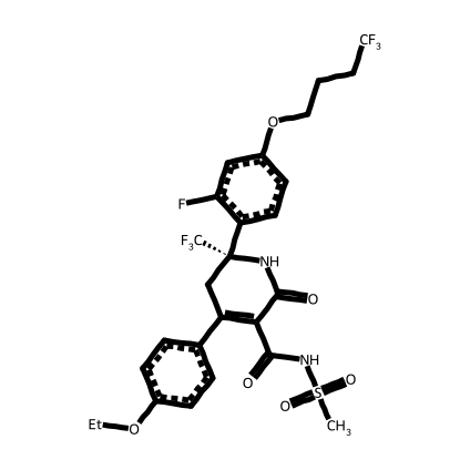 CCOc1ccc(C2=C(C(=O)NS(C)(=O)=O)C(=O)N[C@@](c3ccc(OCCCC(F)(F)F)cc3F)(C(F)(F)F)C2)cc1